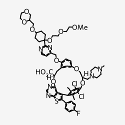 COCCOCCOC1(c2nccc(COc3ccc4cc3C[C@H](C(=O)O)Oc3ncnc5sc(-c6ccc(F)cc6)c(c35)-c3c(C)c(Cl)c(c(Cl)c3C)O[C@H](CN3CCN(C)CC3)CO4)n2)CCC(OCC2COCCO2)CC1